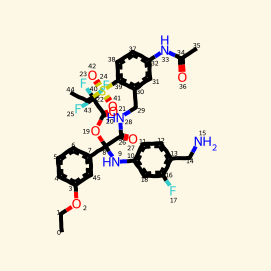 CCOc1cccc(C(Nc2ccc(CN)c(F)c2)(OC(=O)C(F)(F)F)C(=O)NCc2cc(NC(C)=O)ccc2S(=O)(=O)CC)c1